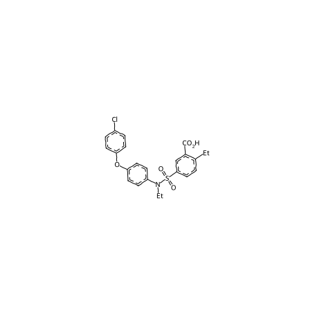 CCc1ccc(S(=O)(=O)N(CC)c2ccc(Oc3ccc(Cl)cc3)cc2)cc1C(=O)O